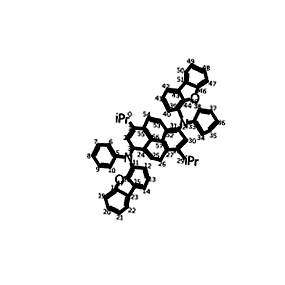 CC(C)C1=CC(N(c2ccccc2)c2cccc3c2oc2ccccc23)C2=CCc3c(C(C)C)cc(N(c4ccccc4)c4cccc5c4oc4ccccc45)c4ccc1c2c34